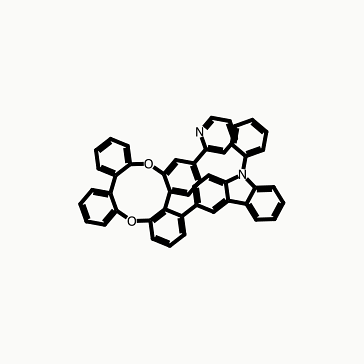 c1ccc(-n2c3ccccc3c3cc(-c4cccc5c4-c4ccc(-c6ccccn6)cc4Oc4ccccc4-c4ccccc4O5)ccc32)cc1